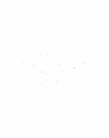 C=CC(=O)N1CC[C@@H](N(C)c2nc(OC[C@@]34CCCN3C[C@H](F)C4)nc3c(F)c(-c4nc(N)cc(C)c4C4CC4)ncc23)C1